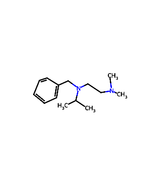 CC(C)N(CCN(C)C)Cc1ccccc1